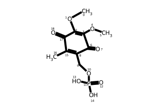 COC1=C(OC)C(=O)C(COP(=O)(O)O)=C(C)C1=O